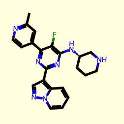 Cc1cc(-c2nc(-c3cnn4ccccc34)nc(N[C@@H]3CCCNC3)c2F)ccn1